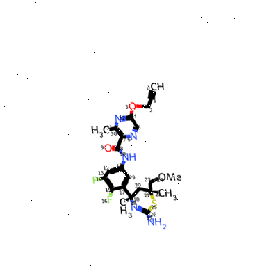 C#CCOc1cnc(C(=O)Nc2cc(F)c(F)c([C@]3(C)C[C@](C)(COC)SC(N)=N3)c2)c(C)n1